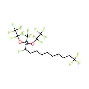 FC(CCCCCCCCC(F)(F)F)[Si](OC(F)(F)C(F)(F)F)(OC(F)(F)C(F)(F)F)C(F)(F)F